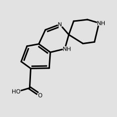 O=C(O)c1ccc2c(c1)NC1(CCNCC1)N=C2